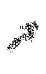 CC1CN(CC2CCN(c3cccc4c(C5CCC(=O)NC5=O)nn(C)c34)CC2)CCN1c1ncc(Cl)c(Nc2ccc3c(c2)c2c(c(=O)n3C)OCC(F)(F)C(C3CC3)N2)n1